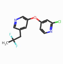 CC(F)(F)Cc1cncc(Oc2ccnc(Cl)c2)c1